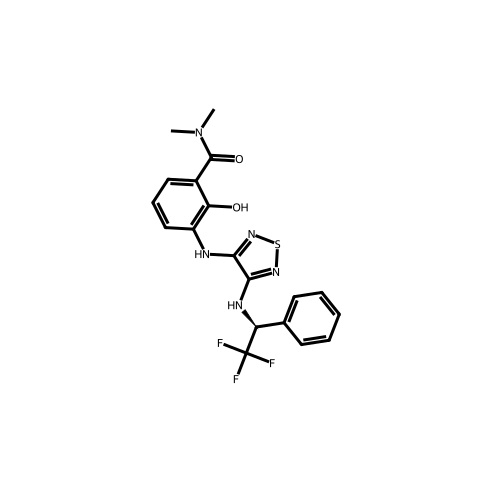 CN(C)C(=O)c1cccc(Nc2nsnc2N[C@@H](c2ccccc2)C(F)(F)F)c1O